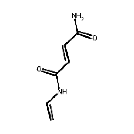 C=CNC(=O)C=CC(N)=O